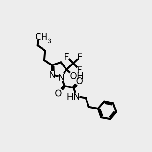 CCCCC1=NN(C(=O)C(=O)NCCc2ccccc2)C(O)(C(F)(F)F)C1